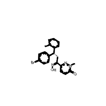 Cc1ccccc1[C@H](CC(=NO)c1ccc(=O)n(C)n1)c1ccc(Br)cc1